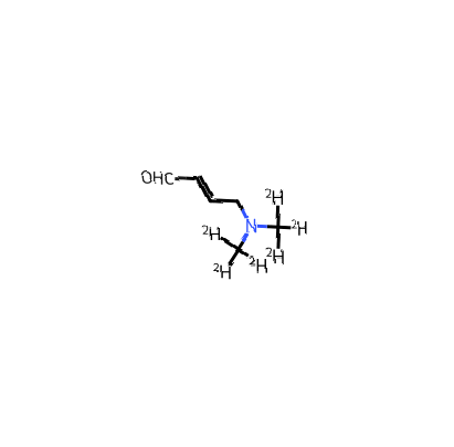 [2H]C([2H])([2H])N(CC=CC=O)C([2H])([2H])[2H]